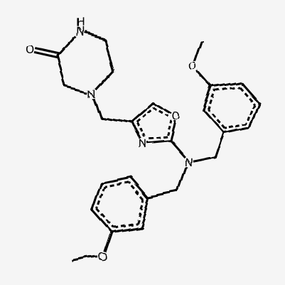 COc1cccc(CN(Cc2cccc(OC)c2)c2nc(CN3CCNC(=O)C3)co2)c1